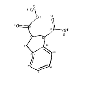 COC(=O)C1Cc2ccccc2C1C(=O)O